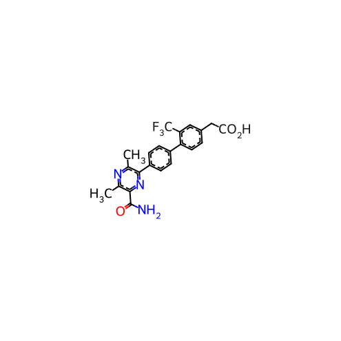 Cc1nc(C)c(-c2ccc(-c3ccc(CC(=O)O)cc3C(F)(F)F)cc2)nc1C(N)=O